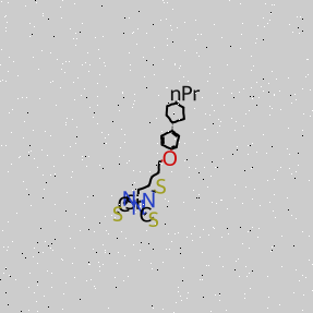 CCC[C@H]1CC[C@H](c2ccc(OCCCCC[Si](N=C=S)(N=C=S)N=C=S)cc2)CC1